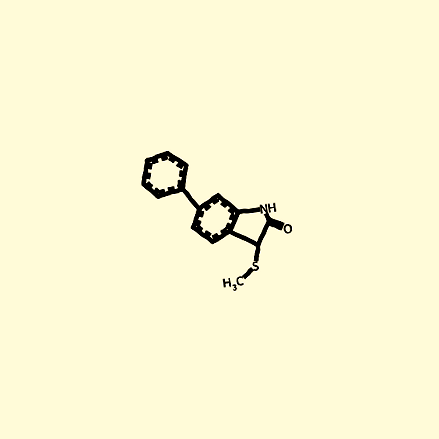 CSC1C(=O)Nc2cc(-c3ccccc3)ccc21